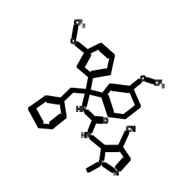 Cn1ncc(C#N)c1NC(=O)NC(Cc1ccccc1)(C1=CCCC(OC(F)(F)F)=C1)c1cccc(OC(F)(F)F)c1